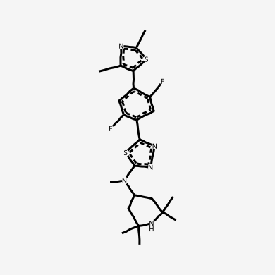 Cc1nc(C)c(-c2cc(F)c(-c3nnc(N(C)C4CC(C)(C)NC(C)(C)C4)s3)cc2F)s1